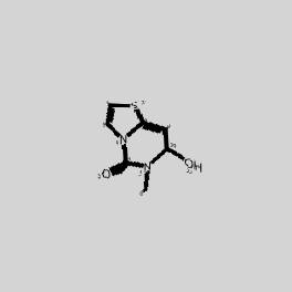 CN1C(=O)N2C=CSC2=CC1O